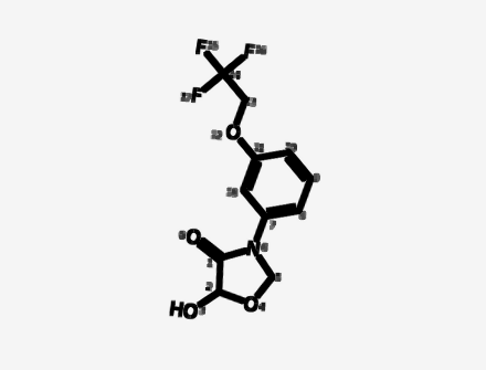 O=C1C(O)OCN1c1cccc(OCC(F)(F)F)c1